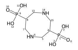 O=P(O)(O)C1CNCC(P(=O)(O)O)CNC1